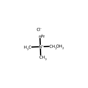 CCC[N+](C)(C)C.O.[Cl-]